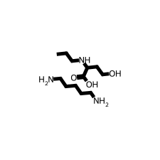 CCCNC(CCO)C(=O)O.NCCCCCN